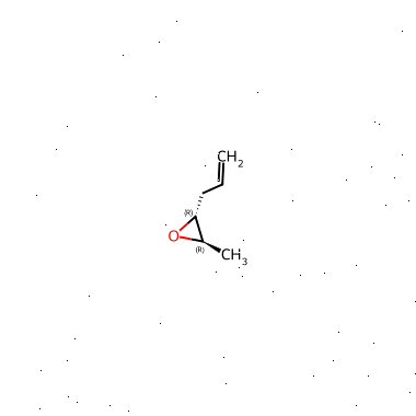 C=CC[C@H]1O[C@@H]1C